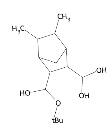 CC1C(C)C2CC1C(C(O)O)C2C(O)OC(C)(C)C